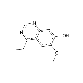 CCc1ncnc2cc(O)c(OC)cc12